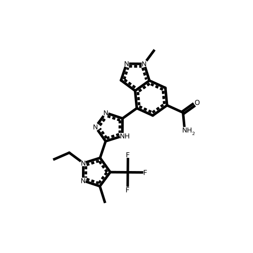 CCn1nc(C)c(C(F)(F)F)c1-c1nnc(-c2cc(C(N)=O)cc3c2cnn3C)[nH]1